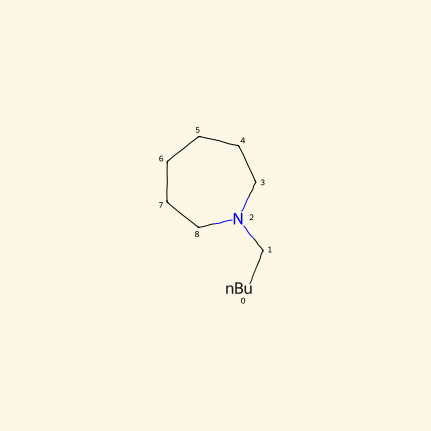 [CH2]CCCCN1CCCCCC1